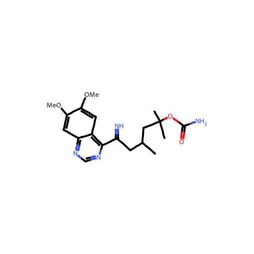 COc1cc2ncnc(C(=N)CC(C)CC(C)(C)OC(N)=O)c2cc1OC